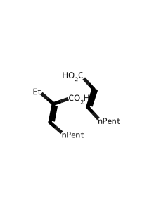 CCCCCC=C(CC)C(=O)O.CCCCCC=CC(=O)O